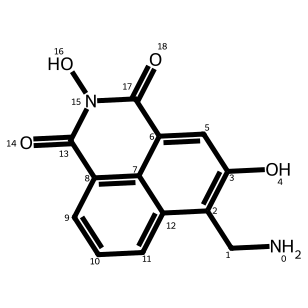 NCc1c(O)cc2c3c(cccc13)C(=O)N(O)C2=O